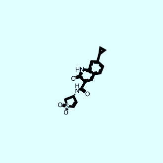 O=C(N[C@@H]1C=CS(=O)(=O)C1)c1cc2ccc(C3CC3)cc2[nH]c1=O